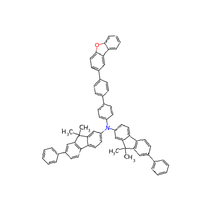 CC1(C)c2cc(-c3ccccc3)ccc2-c2ccc(N(c3ccc(-c4ccc(-c5ccc6oc7ccccc7c6c5)cc4)cc3)c3ccc4c(c3)C(C)(C)c3cc(-c5ccccc5)ccc3-4)cc21